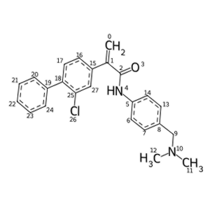 C=C(C(=O)Nc1ccc(CN(C)C)cc1)c1ccc(-c2ccccc2)c(Cl)c1